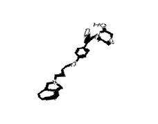 O=C(c1ccc(OCCCN2CC3CCCC3C2)cc1)N1CCOCC1O